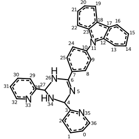 c1ccc(C2N=C(c3ccc(-n4c5ccccc5c5ccccc54)cc3)NC(c3ccccn3)N2)nc1